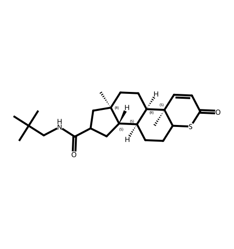 CC(C)(C)CNC(=O)C1C[C@H]2[C@@H]3CCC4SC(=O)C=C[C@]4(C)[C@@H]3CC[C@]2(C)C1